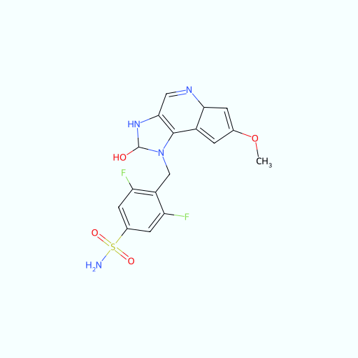 COC1=CC2N=CC3=C(C2=C1)N(Cc1c(F)cc(S(N)(=O)=O)cc1F)C(O)N3